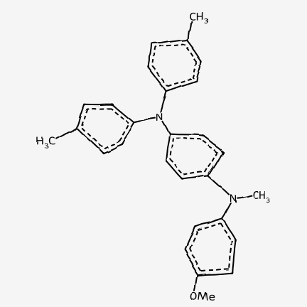 COc1ccc(N(C)c2ccc(N(c3ccc(C)cc3)c3ccc(C)cc3)cc2)cc1